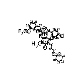 Cn1c(=O)n(CCCOC2CCCCO2)c(=O)c2c1nc(S(=O)(=O)Cc1cccc(OC(F)(F)F)c1)n2Cc1ccc(Cl)cc1